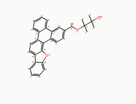 CC(C)(O)C(C)(C)OBc1ccc2c(c1)c1ccccc1c1ccc3c4ccccc4oc3c12